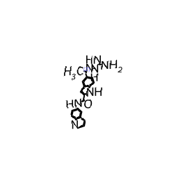 C/C(=N/NC(=N)N)c1ccc2[nH]c(C(=O)Nc3ccc4ncccc4c3)cc2c1